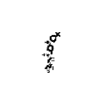 CN1CC2[C@H]1CN2CC(=O)N(O)Cc1ccc(Nc2ccc(C(C)(C)C)cc2)cc1